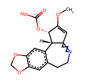 COC1=C[C@]23CCCN2CCc2cc4c(cc2[C@@H]3[C@@H]1OC(=O)O)OCO4